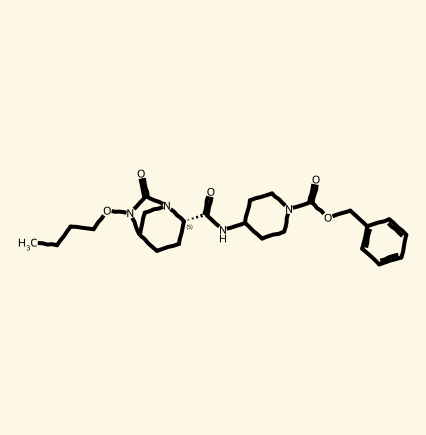 CCCCON1C(=O)N2CC1CC[C@H]2C(=O)NC1CCN(C(=O)OCc2ccccc2)CC1